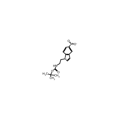 CC(C)(C)OC(=O)NCCn1ccc2cc([N+](=O)[O-])ccc21